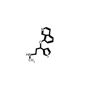 CNCCC(Oc1cccc2ccncc12)c1ccsc1